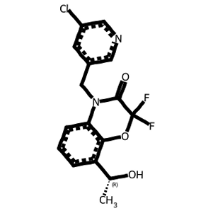 C[C@@H](O)c1cccc2c1OC(F)(F)C(=O)N2Cc1cncc(Cl)c1